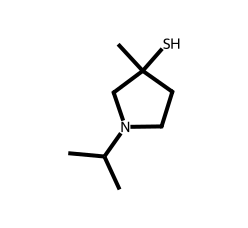 CC(C)N1CCC(C)(S)C1